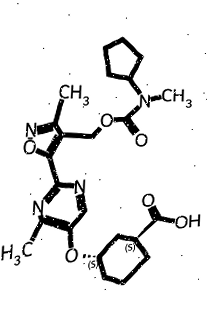 Cc1nc(-c2onc(C)c2COC(=O)N(C)C2CCCC2)ncc1O[C@H]1CCC[C@H](C(=O)O)C1